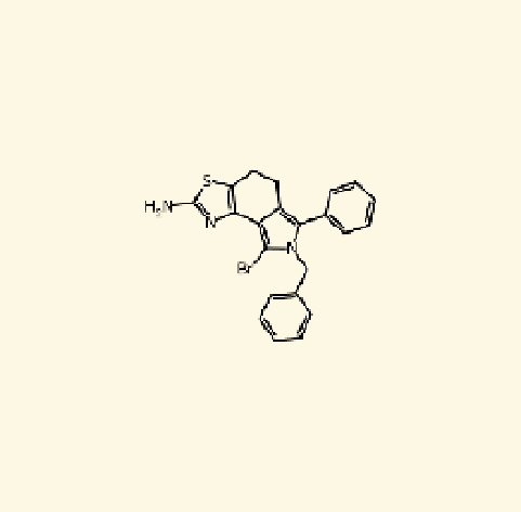 Nc1nc2c(s1)CCc1c-2c(Br)n(Cc2ccccc2)c1-c1ccccc1